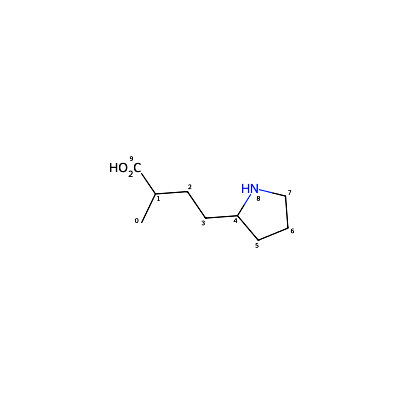 CC(CCC1CCCN1)C(=O)O